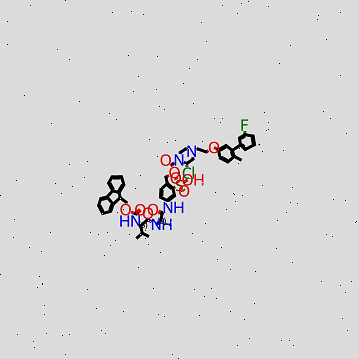 Cc1ccc(OCCN2CCN(C(=O)OCc3ccc(NC(=O)[C@H](C)NC(=O)[C@@H](NC(=O)OCC4c5ccccc5-c5ccccc54)C(C)C)cc3S(=O)(=O)O)C(Cl)C2)cc1-c1c[c]cc(F)c1